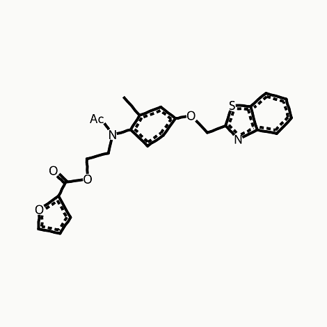 CC(=O)N(CCOC(=O)c1ccco1)c1ccc(OCc2nc3ccccc3s2)cc1C